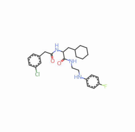 O=C(Cc1cccc(Cl)c1)NC(CC1CCCCC1)C(=O)NCCNc1ccc(F)cc1